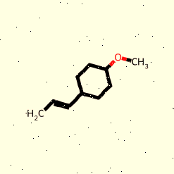 [CH2]C=CC1CCC(OC)CC1